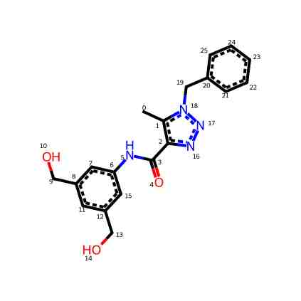 Cc1c(C(=O)Nc2cc(CO)cc(CO)c2)nnn1Cc1ccccc1